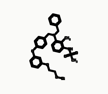 CCOCCOc1cccc(Oc2ccc(CN(Cc3ccccc3)c3cccc(NS(C)(=O)=O)c3C)cc2)c1